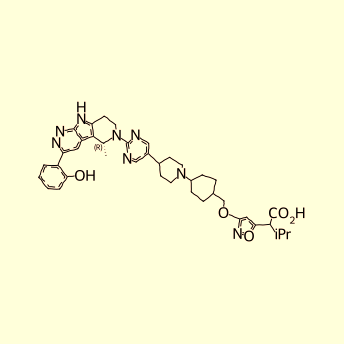 CC(C)C(C(=O)O)c1cc(OCC2CCC(N3CCC(c4cnc(N5CCc6[nH]c7nnc(-c8ccccc8O)cc7c6[C@H]5C)nc4)CC3)CC2)no1